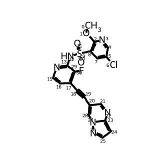 COc1ncc(Cl)cc1S(=O)(=O)Nc1nccc(C#Cc2cnc3ccnn3c2)c1F